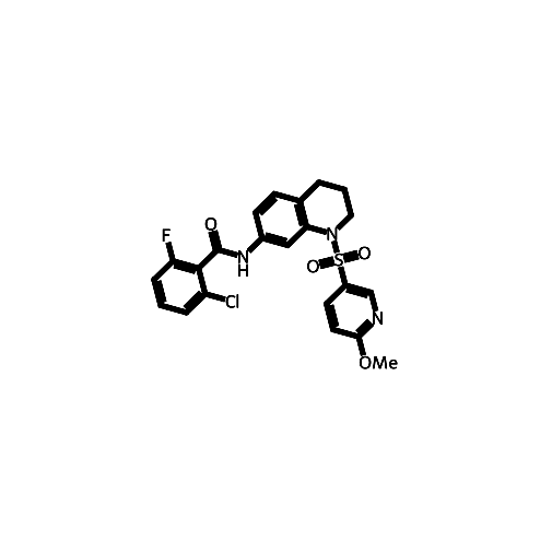 COc1ccc(S(=O)(=O)N2CCCc3ccc(NC(=O)c4c(F)cccc4Cl)cc32)cn1